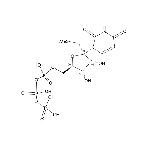 CSC[C@@]1(n2ccc(=O)[nH]c2=O)O[C@H](COP(=O)(O)OP(=O)(O)OP(=O)(O)O)[C@@H](O)[C@H]1O